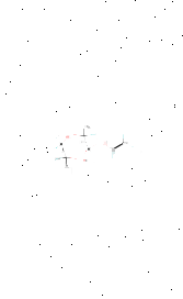 FC(F)=C(F)OC1(F)OC(F)(C(F)(F)F)C(F)(F)OC1(F)C(F)(F)F